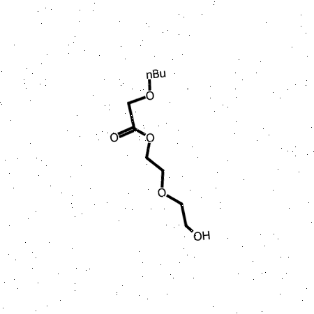 CCCCOCC(=O)OCCOCCO